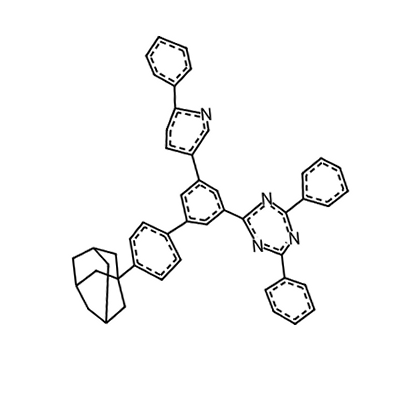 c1ccc(-c2ccc(-c3cc(-c4ccc(C56CC7CC(CC(C7)C5)C6)cc4)cc(-c4nc(-c5ccccc5)nc(-c5ccccc5)n4)c3)cn2)cc1